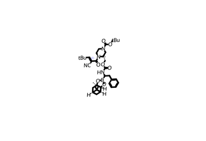 CC(C)(C)/C=C(\C#N)C(=O)N1CCN(C(=O)OC(C)(C)C)C[C@@H]1COC(=O)NC(Cc1ccccc1)B1O[C@H]2[C@H]3C[C@@H](C[C@@]2(C)O1)C3(C)C